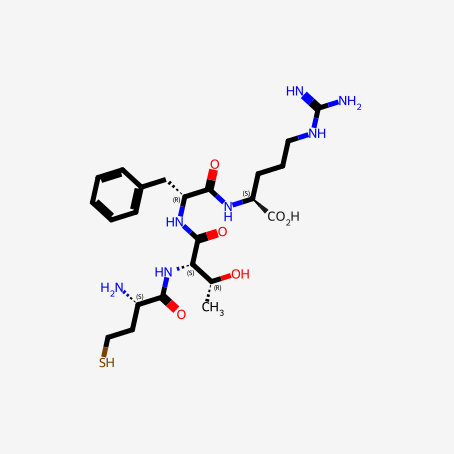 C[C@@H](O)[C@H](NC(=O)[C@@H](N)CCS)C(=O)N[C@H](Cc1ccccc1)C(=O)N[C@@H](CCCNC(=N)N)C(=O)O